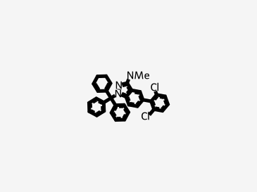 CNc1nn(C(C2=CCCC=C2)(c2ccccc2)c2ccccc2)c2ccc(-c3c(Cl)cccc3Cl)cc12